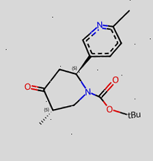 Cc1ccc([C@@H]2CC(=O)[C@@H](C)CN2C(=O)OC(C)(C)C)cn1